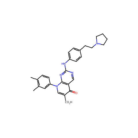 Cc1ccc(-n2cc(C(=O)O)c(=O)c3cnc(Nc4ccc(CCN5CCCC5)cc4)nc32)cc1C